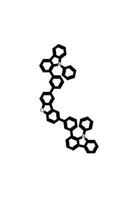 c1ccc(-n2c3ccccc3c3cccc(-c4cccc(-c5ccc6oc7ccc(-c8cccc(-c9cccc%10c%11ccccc%11n(-c%11ccccc%11)c9%10)c8)cc7c6c5)c4)c32)cc1